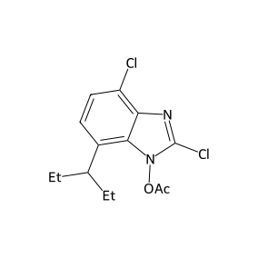 CCC(CC)c1ccc(Cl)c2nc(Cl)n(OC(C)=O)c12